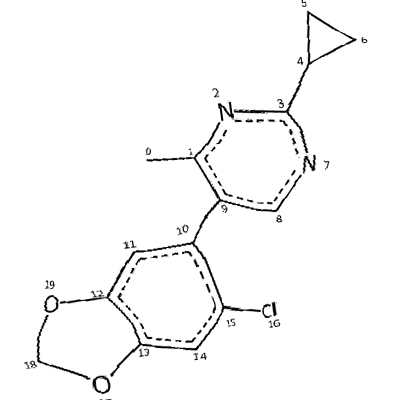 Cc1nc(C2CC2)ncc1-c1cc2c(cc1Cl)OCO2